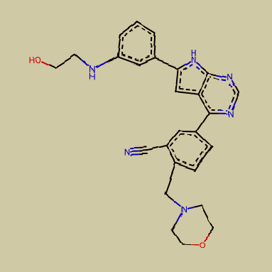 N#Cc1cc(-c2ncnc3[nH]c(-c4cccc(NCCO)c4)cc23)ccc1CN1CCOCC1